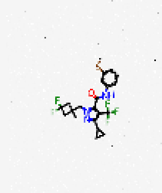 CSc1cccc(NC(=O)c2c(C(F)(F)F)c(C3CC3)nn2CC2(C)CC(F)(F)C2)c1